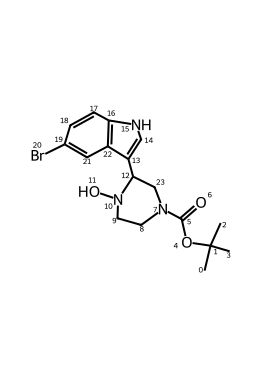 CC(C)(C)OC(=O)N1CCN(O)C(c2c[nH]c3ccc(Br)cc23)C1